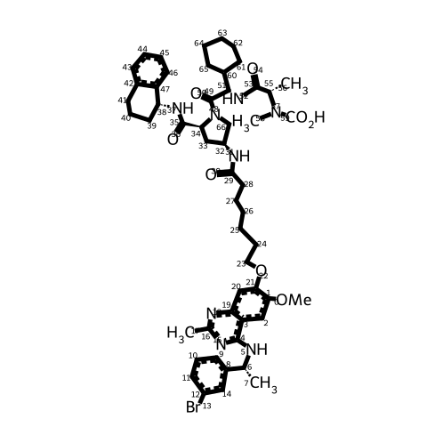 COc1cc2c(N[C@H](C)c3cccc(Br)c3)nc(C)nc2cc1OCCCCCCC(=O)N[C@H]1C[C@@H](C(=O)N[C@@H]2CCCc3ccccc32)N(C(=O)[C@@H](NC(=O)[C@H](C)N(C)C(=O)O)C2CCCCC2)C1